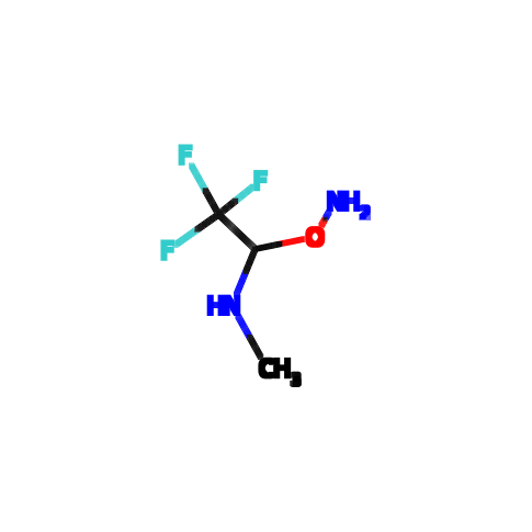 CNC(ON)C(F)(F)F